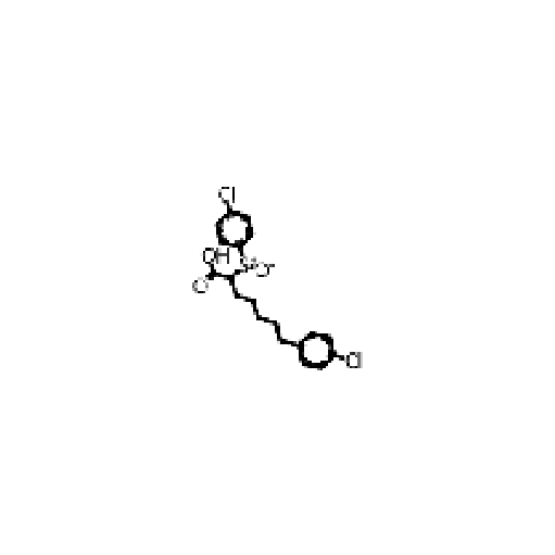 O=C(O)C(CCCCCc1ccc(Cl)cc1)[S+]([O-])c1ccc(Cl)cc1